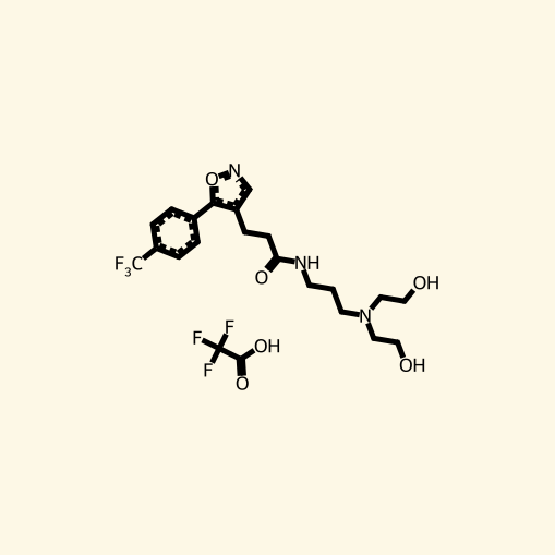 O=C(CCc1cnoc1-c1ccc(C(F)(F)F)cc1)NCCCN(CCO)CCO.O=C(O)C(F)(F)F